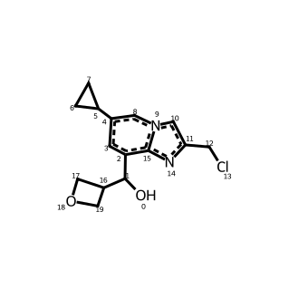 OC(c1cc(C2CC2)cn2cc(CCl)nc12)C1COC1